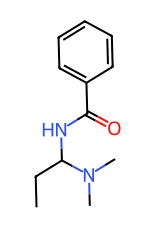 CCC(NC(=O)c1ccccc1)N(C)C